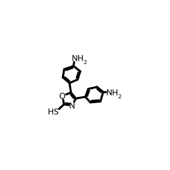 Nc1ccc(-c2nc(S)oc2-c2ccc(N)cc2)cc1